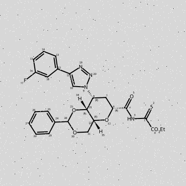 CCOC(=O)C(=S)NC(=O)[C@H]1C[C@@H](n2cc(-c3cccc(F)c3)nn2)[C@H]2OC(c3ccccc3)OC[C@H]2O1